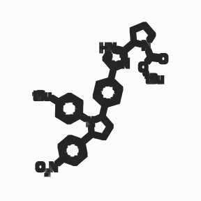 CC(C)(C)OC(=O)N1CCCC1c1nc(-c2ccc(C3CCC(c4ccc([N+](=O)[O-])cc4)N3c3ccc(C(C)(C)C)cc3)cc2)c[nH]1